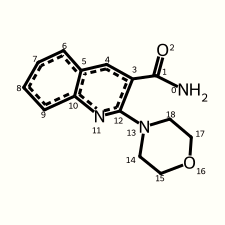 NC(=O)c1cc2ccccc2nc1N1CCOCC1